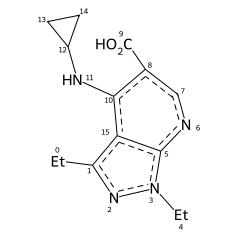 CCc1nn(CC)c2ncc(C(=O)O)c(NC3CC3)c12